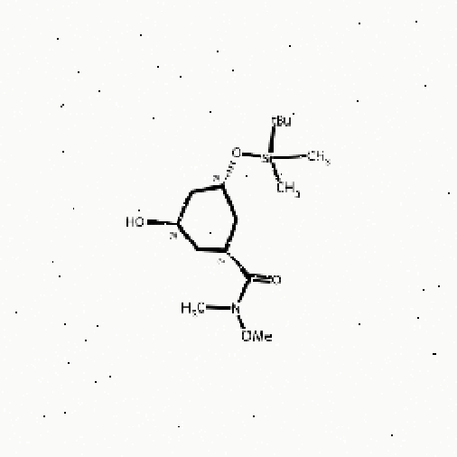 CON(C)C(=O)[C@H]1C[C@@H](O)C[C@H](O[Si](C)(C)C(C)(C)C)C1